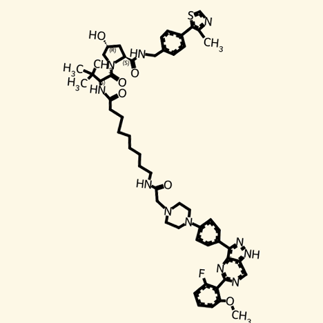 COc1cccc(F)c1-c1ncc2[nH]nc(-c3ccc(N4CCN(CC(=O)NCCCCCCCCC(=O)N[C@H](C(=O)N5C[C@H](O)C[C@H]5C(=O)NCc5ccc(-c6scnc6C)cc5)C(C)(C)C)CC4)cc3)c2n1